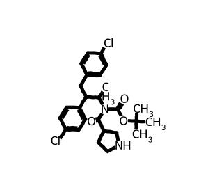 CC(C(Cc1ccc(Cl)cc1)c1ccc(Cl)cc1)N(C(=O)OC(C)(C)C)C(=O)C1CCNC1